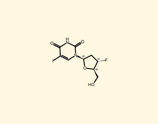 O=c1[nH]c(=O)n([C@H]2C[C@H](F)[C@@H](CO)O2)cc1I